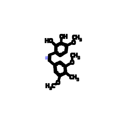 COc1cc(/C=C\c2ccc(OC)c(O)c2O)cc(OC)c1C